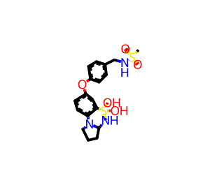 CS(=O)(=O)NCc1ccc(Oc2ccc3c(c2)S(O)(O)NC2CCCN32)cc1